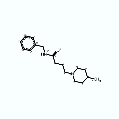 CC1CCN(CCCC(=O)NCc2ccccc2)CC1